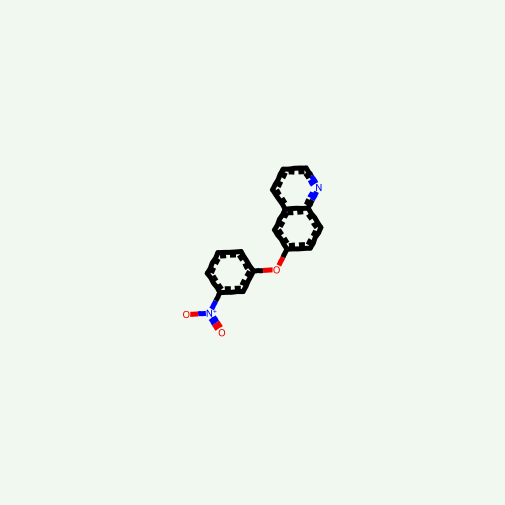 O=[N+]([O-])c1cccc(Oc2ccc3ncccc3c2)c1